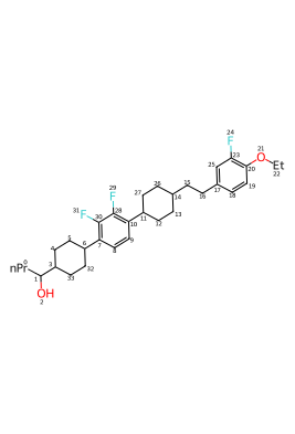 CCCC(O)C1CCC(c2ccc(C3CCC(CCc4ccc(OCC)c(F)c4)CC3)c(F)c2F)CC1